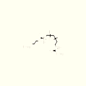 CC(C)(C)OCCOC(=O)NCC(F)(F)CC(F)(F)CCNC(=O)C(C)(C)C